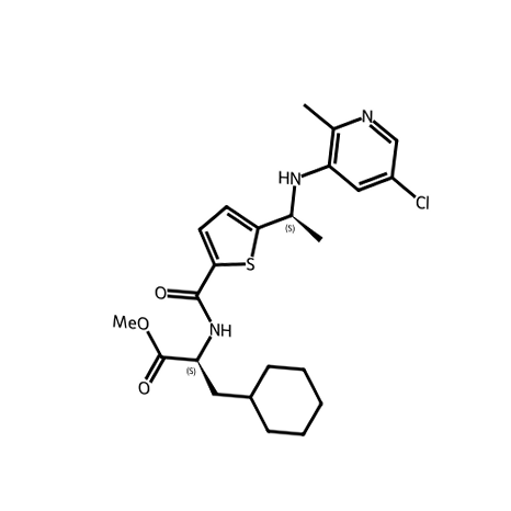 COC(=O)[C@H](CC1CCCCC1)NC(=O)c1ccc([C@H](C)Nc2cc(Cl)cnc2C)s1